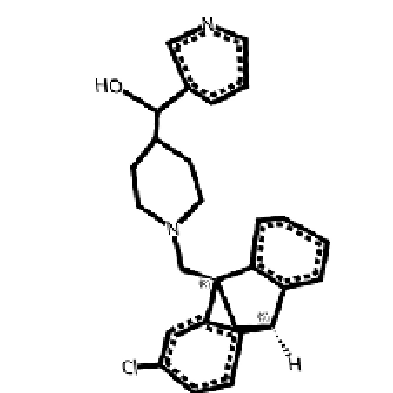 OC(c1cccnc1)C1CCN(C[C@]23C[C@@H](c4ccccc42)c2ccc(Cl)cc23)CC1